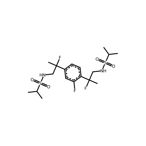 CC(C)S(=O)(=O)NCC(C)(F)c1ccc(C(C)(F)CNS(=O)(=O)C(C)C)c(F)c1